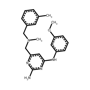 COc1cccc(Nc2cc(CN(C)Cc3cccc(C)c3)nc(N)n2)c1